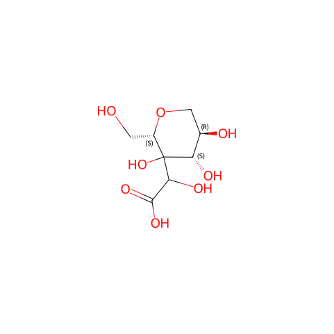 O=C(O)C(O)C1(O)[C@H](CO)OC[C@@H](O)[C@@H]1O